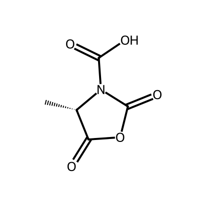 C[C@H]1C(=O)OC(=O)N1C(=O)O